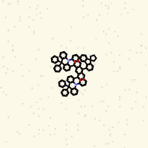 c1ccc(N2c3ccccc3C(c3ccccc3)(c3ccccc3)c3cccc(-c4cccc5c(-c6cccc7c6-c6ccccc6C76CCCC6)c6cccc(-c7cccc8c7N(c7ccccc7)c7ccccc7C8(c7ccccc7)c7ccccc7)c6cc45)c32)cc1